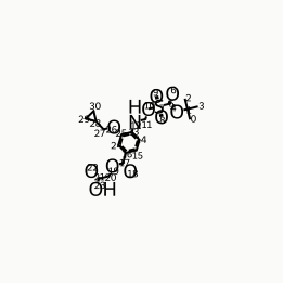 CC(C)(C)OC(=O)S(=O)(=O)OCNc1ccc(C(=O)OCC(=O)O)cc1OCC1CC1